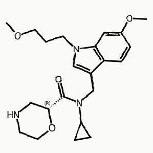 COCCCn1cc(CN(C(=O)[C@H]2CNCCO2)C2CC2)c2ccc(OC)cc21